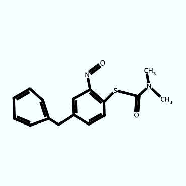 CN(C)C(=O)Sc1ccc(Cc2ccccc2)cc1N=O